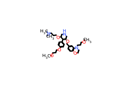 COCCCOc1ccc(C2[C@@H](OCc3ccc4c(c3)N(CCCOC)CCO4)CNC[C@H]2OCCCN(C)C)cc1